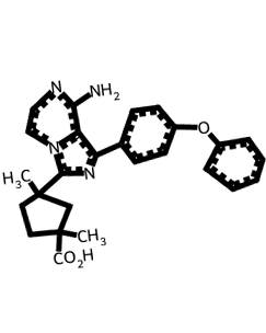 CC1(C(=O)O)CCC(C)(c2nc(-c3ccc(Oc4ccccc4)cc3)c3c(N)nccn23)C1